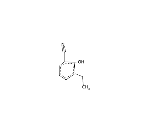 CCc1cccc(C#N)c1O